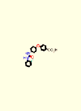 O=C(Nc1ccccc1F)N[C@H]1CC[C@H](Oc2ccc(C(=O)O)cc2)CC1